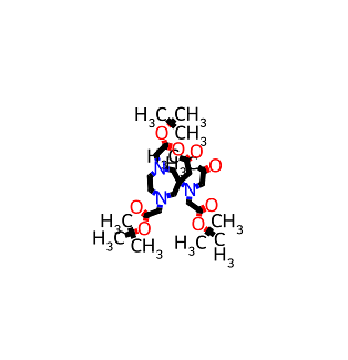 CC(=O)CN(CC(=O)OC(C)(C)C)C1(CC(C)=O)CN(CC(=O)OC(C)(C)C)CCN(CC(=O)OC(C)(C)C)C1